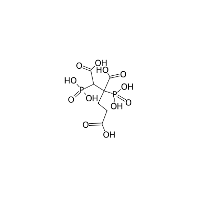 O=C(O)CCC(C(=O)O)(C(C(=O)O)P(=O)(O)O)P(=O)(O)O